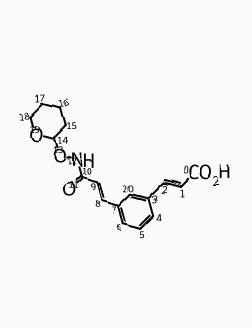 O=C(O)/C=C/c1cccc(/C=C/C(=O)NOC2CCCCO2)c1